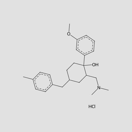 COc1cccc(C2(O)CCC(Cc3ccc(C)cc3)CC2CN(C)C)c1.Cl